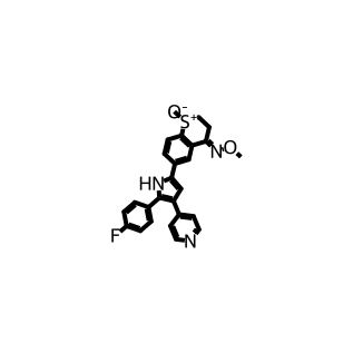 CON=C1CC[S+]([O-])c2ccc(-c3cc(-c4ccncc4)c(-c4ccc(F)cc4)[nH]3)cc21